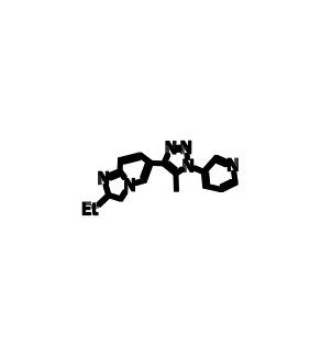 CCC1CN2C=C(c3nnn(-c4cccnc4)c3C)C=CC2=N1